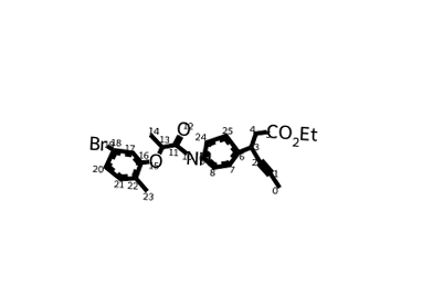 CC#CC(CC(=O)OCC)c1ccc(NC(=O)C(C)Oc2cc(Br)ccc2C)cc1